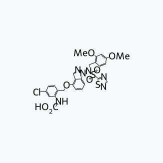 COc1ccc(CN(n2ncc3c(OCc4ccc(Cl)cc4NC(=O)O)cccc32)S(=O)(=O)c2ncns2)c(OC)c1